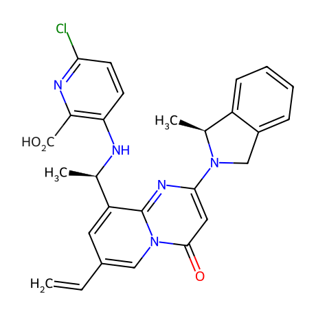 C=Cc1cc([C@@H](C)Nc2ccc(Cl)nc2C(=O)O)c2nc(N3Cc4ccccc4[C@@H]3C)cc(=O)n2c1